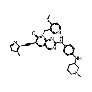 CSc1ccncc1Cn1c(=O)c(C#CC2=C(C)CC=N2)cc2cnc(Nc3ccc(NC4CCCN(C)C4)cc3)nc21